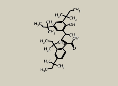 CCC(C)(C)c1ccc(C(=CC(C)c2cc(C(C)(C)CC)cc(C(C)(C)CC)c2O)C(=O)O)c(C(C)(C)CC)c1